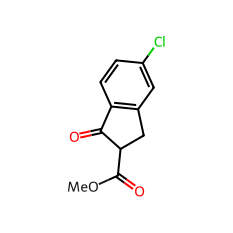 COC(=O)C1Cc2cc(Cl)ccc2C1=O